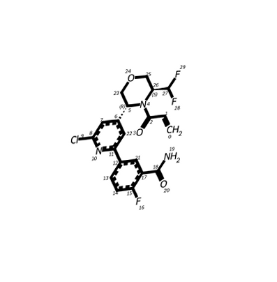 C=CC(=O)N1[C@H](c2cc(Cl)nc(-c3ccc(F)c(C(N)=O)c3)c2)COC[C@H]1C(F)F